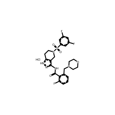 Cl.O=C(Nc1n[nH]c2c1CN(S(=O)(=O)c1cc(F)cc(F)c1)CC2)c1c(F)cccc1CN1CCOCC1